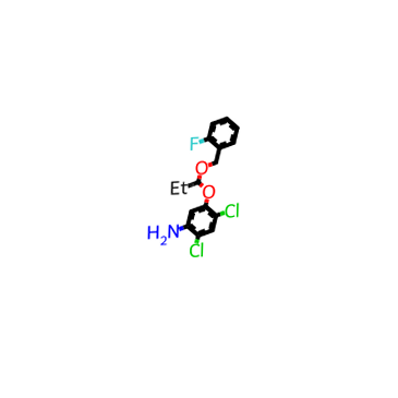 CCC(OCc1ccccc1F)Oc1cc(N)c(Cl)cc1Cl